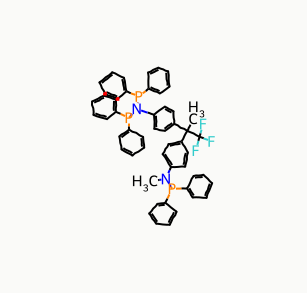 CN(c1ccc(C(C)(c2ccc(N(P(c3ccccc3)c3ccccc3)P(c3ccccc3)c3ccccc3)cc2)C(F)(F)F)cc1)P(c1ccccc1)c1ccccc1